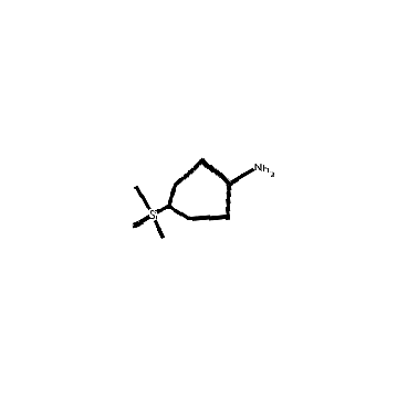 C[Si](C)(C)C1CCC(N)CC1